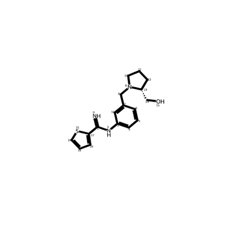 N=C(Nc1cccc(CN2CCC[C@@H]2CO)c1)c1cccs1